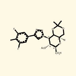 CC(=O)O[C@H]1[C@H](C(=O)O)O[C@@H]2COC(C)(C)OC2[C@@H]1n1cc(-c2cc(F)c(C)c(F)c2)nn1